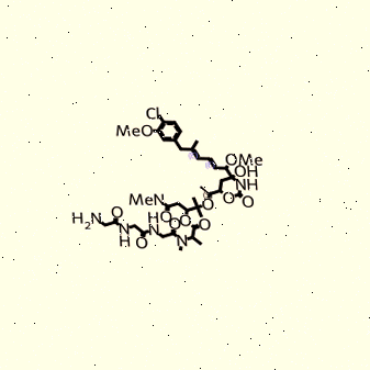 CNC(=O)CC(OC(=O)C(C)N(C)C(=O)CNC(=O)CNC(=O)CN)C(C)(C)O[C@@H](C)C1CC(O)(C(/C=C/C=C(\C)Cc2ccc(Cl)c(OC)c2)OC)NC(=O)O1